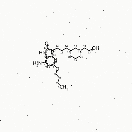 CCCCOc1nc(N)c2[nH]c(=O)n(CCCC3CCCN(CCO)C3)c2n1